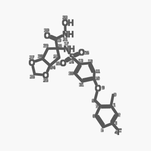 Cc1cc(F)ccc1COc1ccc(S(=O)(=O)NC2(C(=O)NO)CC3OCOC3C2)cc1